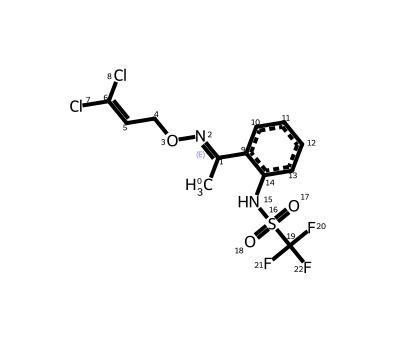 C/C(=N\OCC=C(Cl)Cl)c1ccccc1NS(=O)(=O)C(F)(F)F